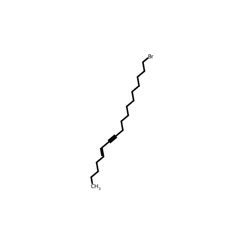 CCCCC=CC#CCCCCCCCCCCBr